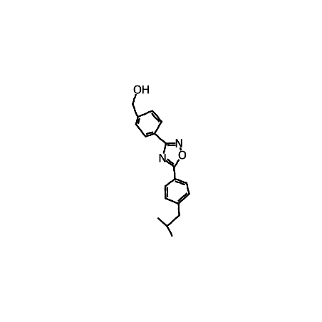 CC(C)Cc1ccc(-c2nc(-c3ccc(CO)cc3)no2)cc1